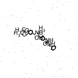 C[C@H](Cc1ccc(NC(=O)NCc2ccccc2)cc1)N[C@H](CO)c1ccc2c(c1)COC(C)(C)O2